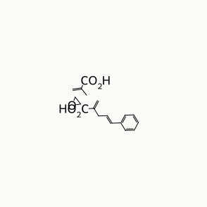 C1CO1.C=C(C)C(=O)O.C=C(CC=Cc1ccccc1)C(=O)O